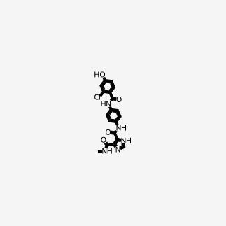 CNC(=O)c1nc[nH]c1C(=O)Nc1ccc(NC(=O)c2ccc(O)cc2Cl)cc1